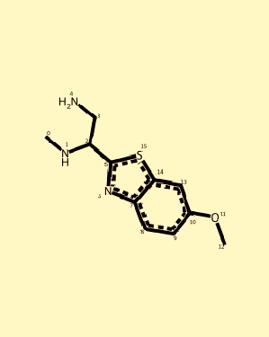 CNC(CN)c1nc2ccc(OC)cc2s1